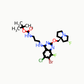 CC(C)(C)OC(=O)NCCCNc1nc(OC[C@@]23CCCN2C[C@H](F)C3)nc2c(F)c(Br)c(Cl)cc12